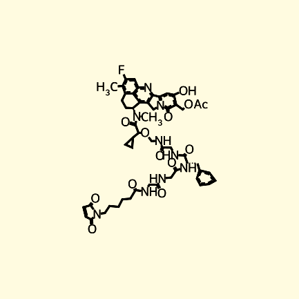 CC(=O)OCc1c(O)cc2n(c1=O)Cc1c-2nc2cc(F)c(C)c3c2c1[C@@H](N(C)C(=O)C(OCNC(=O)CNC(=O)[C@H](Cc1ccccc1)NC(=O)CNC(=O)CNC(=O)CCCCCN1C(=O)C=CC1=O)C1CC1)CC3